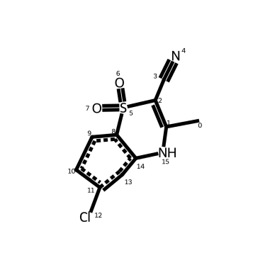 CC1=C(C#N)S(=O)(=O)c2ccc(Cl)cc2N1